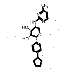 O[C@@H]1[C@H](O)[C@H](Nc2nccc(C(F)(F)F)n2)CO[C@@H]1c1ccc(C2CCCC2)cc1